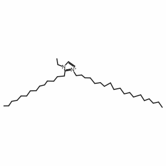 CCCCCCCCCCCCCCCCCCC[n+]1ccn(CC)c1CCCCCCCCCCCCCC